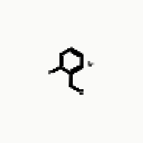 Fc1ccccc1[CH2][Zn+].[Br-]